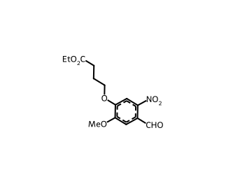 CCOC(=O)CCCOc1cc([N+](=O)[O-])c(C=O)cc1OC